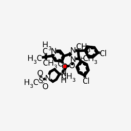 CCOc1cc(C(C)(C)C)ncc1C1=N[C@@](C)(c2ccc(Cl)cc2)[C@@](C)(c2ccc(Cl)cc2)N1OC(=O)NC1CCN(S(C)(=O)=O)CC1